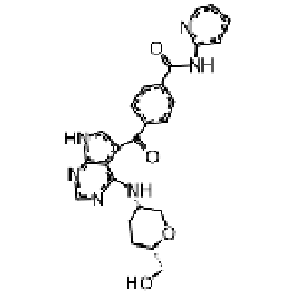 O=C(Nc1ccccn1)c1ccc(C(=O)c2c[nH]c3ncnc(N[C@H]4CC[C@@H](CO)OC4)c23)cc1